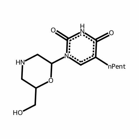 CCCCCc1cn(C2CNCC(CO)O2)c(=O)[nH]c1=O